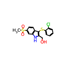 CS(=O)(=O)c1ccc2c(Sc3ccccc3Cl)c(CO)[nH]c2c1